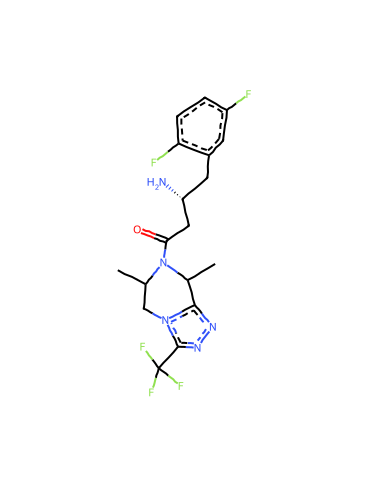 CC1Cn2c(nnc2C(F)(F)F)C(C)N1C(=O)C[C@H](N)Cc1cc(F)ccc1F